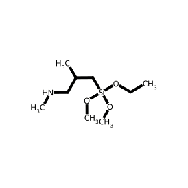 CCO[Si](CC(C)CNC)(OC)OC